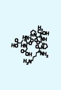 C[C@@H](O)[C@H](NC(=O)[C@@H]1CCCN1C(=O)[C@@H](N)CCCCN)C(=O)N1CCC[C@H]1C(=O)N[C@@H](CCC(=O)O)C(=O)NCC(=O)O